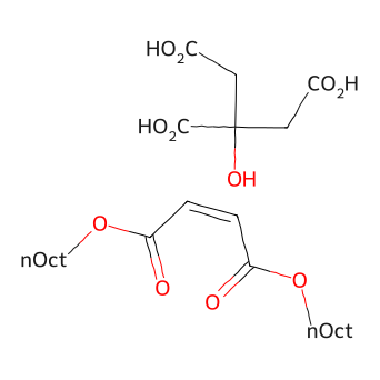 CCCCCCCCOC(=O)/C=C\C(=O)OCCCCCCCC.O=C(O)CC(O)(CC(=O)O)C(=O)O